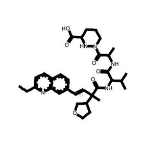 CCc1ccc2ccc(/C=C/C(C)(C(=O)NC(C(=O)NC(C)C(=O)N3CCCC(C(=O)O)N3)C(C)C)C3CCOC3)cc2n1